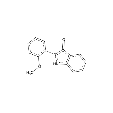 COc1ccccc1-n1[nH]c2ccccc2c1=O